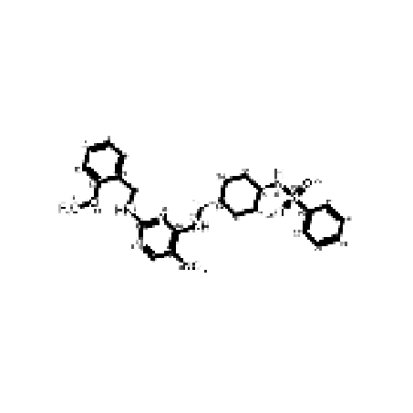 O=[N+]([O-])c1cnc(NCc2ccccc2OC(F)(F)F)nc1NC[C@H]1CC[C@H](NS(=O)(=O)c2ccccc2)CC1